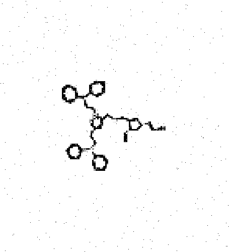 C=C[C@@H]1C[C@H](/C=C/CC)CC1COCc1cn(CCP(c2ccccc2)c2ccccc2)n[n+]1CCP(c1ccccc1)c1ccccc1